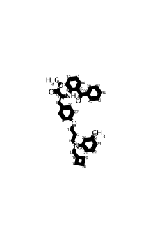 COC(=O)[C@H](Cc1ccc(OCCCN(CC2CCC2)c2cccc(C)c2)cc1)Nc1ccccc1C(=O)c1ccccc1